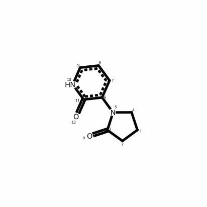 O=C1CCCN1c1ccc[nH]c1=O